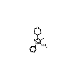 Cc1c(C2CCOCC2)nn(-c2ccccc2)c1N